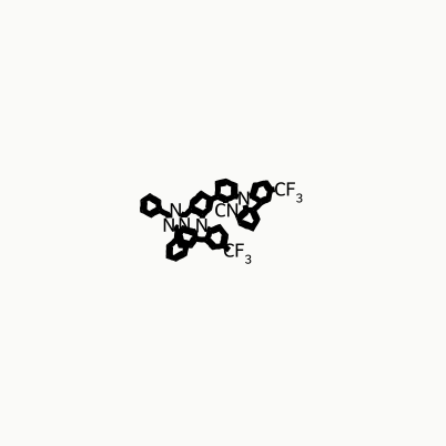 N#Cc1c(-c2ccc(-c3nc(-c4ccccc4)nc(-c4ccccc4)n3)c(-n3c4ccccc4c4cc(C(F)(F)F)ccc43)c2)cccc1-n1c2ccccc2c2cc(C(F)(F)F)ccc21